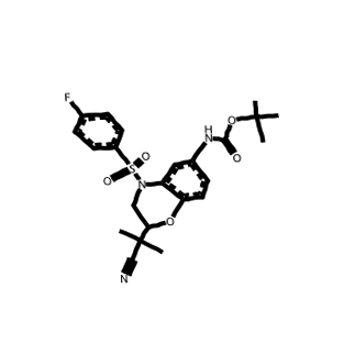 CC(C)(C)OC(=O)Nc1ccc2c(c1)N(S(=O)(=O)c1ccc(F)cc1)CC(C(C)(C)C#N)O2